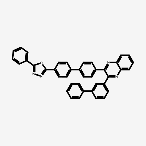 c1ccc(-c2cccc(-c3nc4ccccc4nc3-c3ccc(-c4ccc(-c5nnc(-c6ccccc6)o5)cc4)cc3)c2)cc1